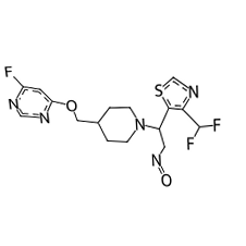 O=NCC(c1scnc1C(F)F)N1CCC(COc2cc(F)ncn2)CC1